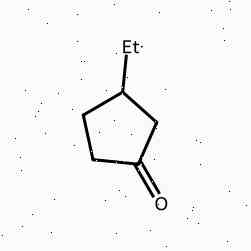 C[CH]C1CCC(=O)C1